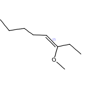 CCCC/C=C(/CC)OC